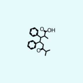 CC(C)C(=O)CC(c1ccccc1)C(c1ccccc1)C(C)C(=O)O